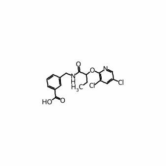 CCC(Oc1ncc(Cl)cc1Cl)C(=O)NCc1cccc(C(=O)O)c1